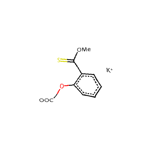 COC(=S)c1ccccc1OC(=O)[O-].[K+]